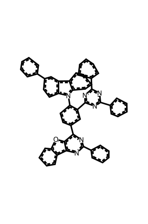 c1ccc(-c2ccc3c(c2)c2ccccc2n3-c2ccc(-c3nc(-c4ccccc4)nc4c3oc3ccccc34)cc2-c2nc(-c3ccccc3)nc(-c3ccccc3)n2)cc1